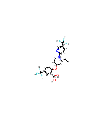 CC[C@H]1C[C@@H](Oc2ccc(C(F)(F)F)cc2C(=O)O)CCN1c1ccc(C(F)(F)F)cn1